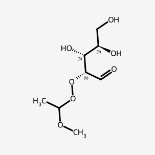 COC(C)OO[C@@H](C=O)[C@H](O)[C@H](O)CO